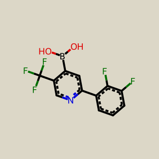 OB(O)c1cc(-c2cccc(F)c2F)ncc1C(F)(F)F